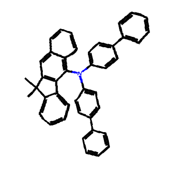 CC1(C)c2ccccc2-c2c1cc1ccccc1c2N(c1ccc(-c2ccccc2)cc1)c1ccc(-c2ccccc2)cc1